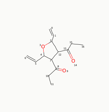 C=CC1OC(C=C)C(C(=O)CC)C1C(=O)CC